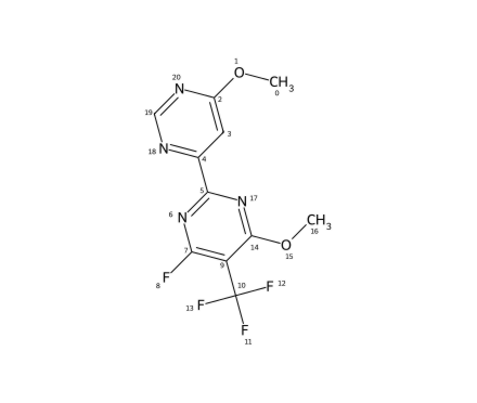 COc1cc(-c2nc(F)c(C(F)(F)F)c(OC)n2)ncn1